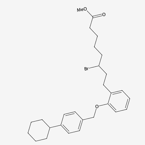 COC(=O)CCCCC(Br)CCc1ccccc1OCc1ccc(C2CCCCC2)cc1